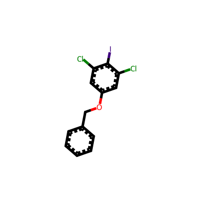 Clc1cc(OCc2ccccc2)cc(Cl)c1I